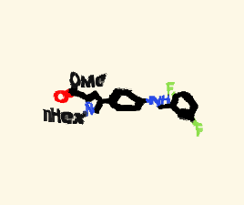 CCCCCCn1cc(-c2ccc(NCc3cc(F)ccc3F)cc2)cc1C(=O)OC